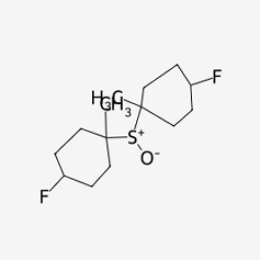 CC1([S+]([O-])C2(C)CCC(F)CC2)CCC(F)CC1